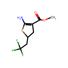 COC(=O)C1=C(N)SC(CC(F)(F)F)C1